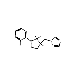 CC1(C)C(c2ccccc2Cl)CCC1(O)Cn1cncn1